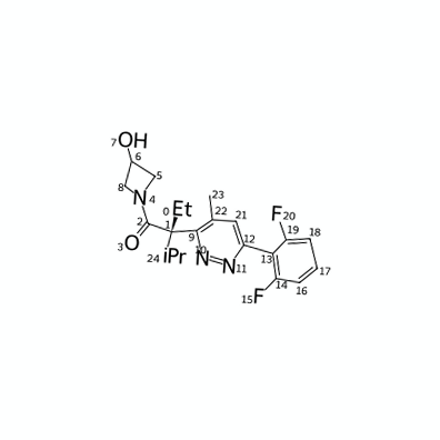 CC[C@@](C(=O)N1CC(O)C1)(c1nnc(-c2c(F)cccc2F)cc1C)C(C)C